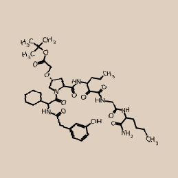 CCCCC(NC(=O)CNC(=O)C(=O)C(CCC)NC(=O)C1C[C@@H](OCC(=O)OC(C)(C)C)CN1C(=O)C(NC(=O)Cc1cccc(O)c1)C1CCCCC1)C(N)=O